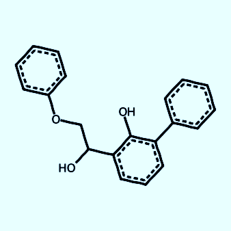 Oc1c(-c2ccccc2)cccc1C(O)COc1ccccc1